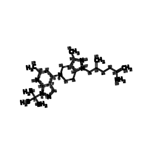 BC(B)(B)n1ncc2c(N3CCc4c(c(C)nn4CC(=C)CCC(=C)N)C3)cc(C)nc21